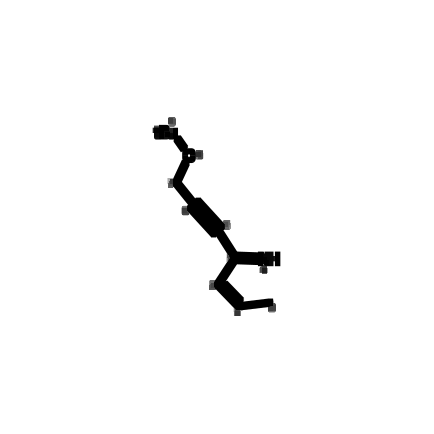 C/C=C\C(=N)C#CCOC(C)(C)C